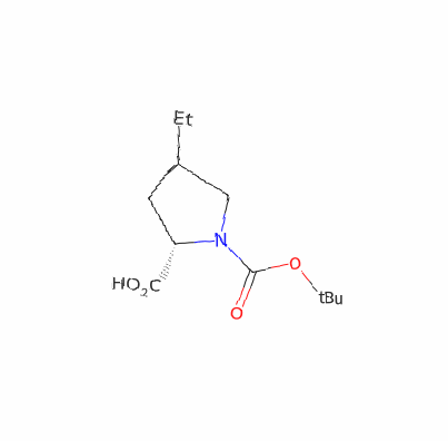 CCC1C[C@@H](C(=O)O)N(C(=O)OC(C)(C)C)C1